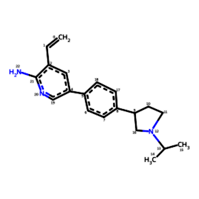 C=Cc1cc(-c2ccc(C3CCN(C(C)C)C3)cc2)cnc1N